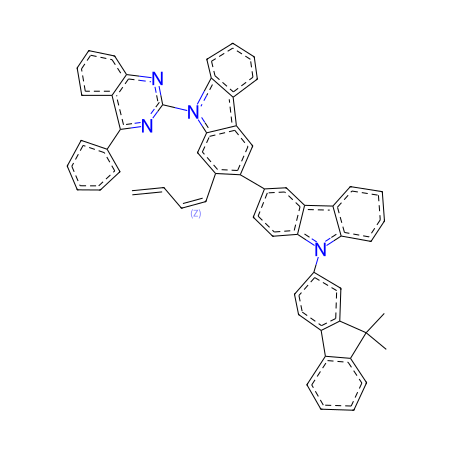 C=C/C=C\c1cc2c(cc1-c1ccc3c(c1)c1ccccc1n3-c1ccc3c(c1)C(C)(C)c1ccccc1-3)c1ccccc1n2-c1nc(-c2ccccc2)c2ccccc2n1